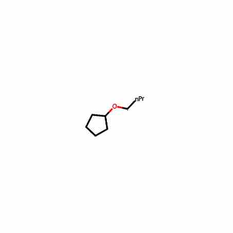 [CH2]CC[CH]OC1CCCC1